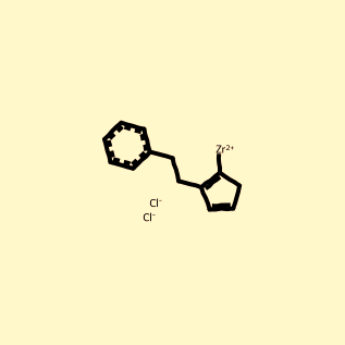 [Cl-].[Cl-].[Zr+2][C]1=C(CCc2ccccc2)C=CC1